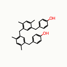 Cc1cc(C)c(Cc2cc(Cc3ccc(O)cc3)c(C)cc2C)cc1Cc1ccc(O)cc1